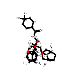 Cc1nnc(C(C)C)n1[C@@H]1C[C@H]2CC[C@@H](C1)N2CCC(C)(CNC(=O)C1CCC(F)(F)CC1)c1ccccc1